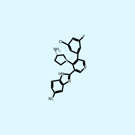 N#Cc1ccc2[nH]c(-c3cncc(-c4cc(F)cc(Cl)c4)c3N3CC[C@H](N)C3)nc2c1